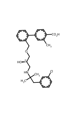 Cc1cc(-c2ccccc2COC[C@H](O)CNC(C)(C)Cc2cccc(Cl)c2)ccc1C(=O)O